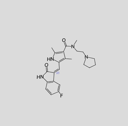 Cc1[nH]c(/C=C2\C(=O)Nc3ccc(F)cc32)c(C)c1C(=O)N(C)CCN1CCCC1